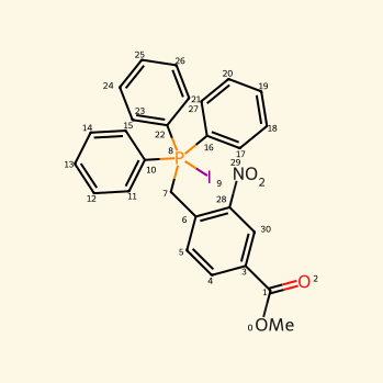 COC(=O)c1ccc(CP(I)(c2ccccc2)(c2ccccc2)c2ccccc2)c([N+](=O)[O-])c1